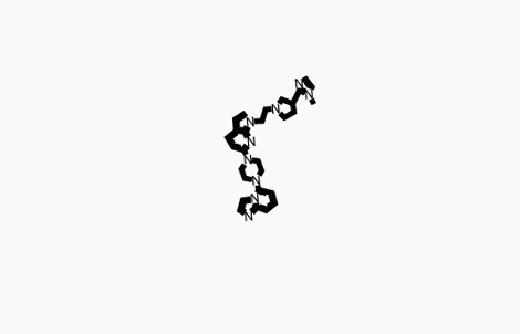 Cn1ccnc1C1CCN(CCn2ccc3ccc(N4CCN(c5cccc6nccn56)CC4)nc32)C1